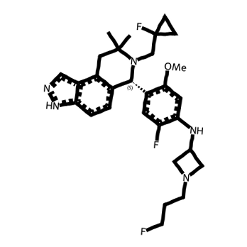 COc1cc(NC2CN(CCCF)C2)c(F)cc1[C@@H]1c2ccc3[nH]ncc3c2CC(C)(C)N1CC1(F)CC1